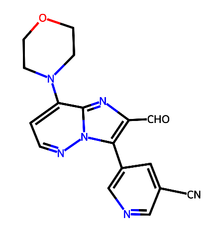 N#Cc1cncc(-c2c(C=O)nc3c(N4CCOCC4)ccnn23)c1